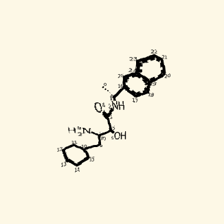 C[C@@H](NC(=O)C(O)[C@H](N)CC1CCCCC1)c1ccc2ccccc2c1